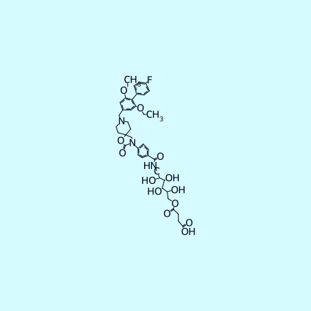 CCOc1cc(CN2CCC3(CC2)CN(c2ccc(C(=O)NCC(O)C(O)C(O)C(O)COC(=O)CCC(=O)O)cc2)C(=O)O3)cc(OCC)c1-c1ccc(F)cc1